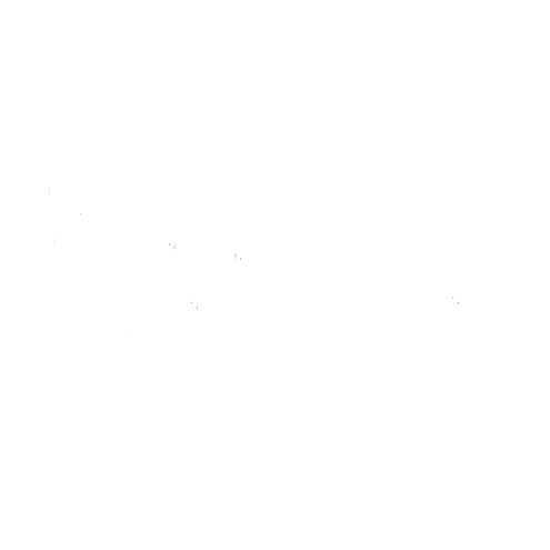 COC(=O)c1cc(C(F)(F)F)cnc1Nc1nc(CCC(C)C)c(-c2ccc(-c3ccccn3)cc2)s1